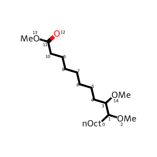 CCCCCCCCC(OC)C(CCCCCCCC(=O)OC)OC